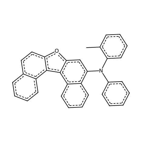 Cc1ccccc1N(c1ccccc1)c1cc2oc3ccc4ccccc4c3c2c2ccccc12